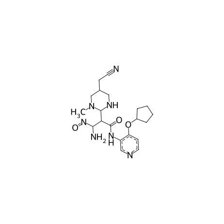 CN1CC(CC#N)CNC1C(C(=O)Nc1cnccc1OC1CCCC1)C(N)N=O